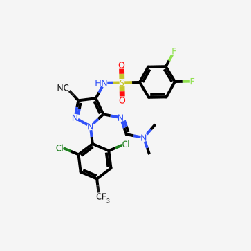 CN(C)C=Nc1c(NS(=O)(=O)c2ccc(F)c(F)c2)c(C#N)nn1-c1c(Cl)cc(C(F)(F)F)cc1Cl